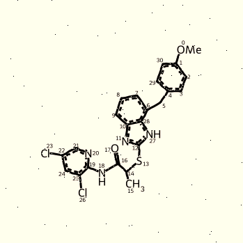 COc1ccc(Cc2cccc3nc(SC(C)C(=O)Nc4ncc(Cl)cc4Cl)[nH]c23)cc1